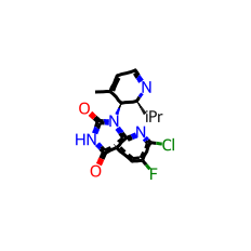 CC1=CC=N[C@@H](C(C)C)[C@H]1n1c(=O)[nH]c(=O)c2cc(F)c(Cl)nc21